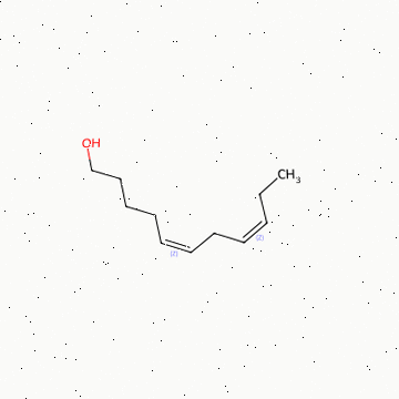 CC/C=C\C/C=C\CCCCO